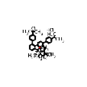 CC1=Cc2c(-c3ccc(C(C)(C)C)cc3)cccc2[CH]1[Zr]([CH3])([CH3])(=[SiH2])[CH]1C(C(C)C)=Cc2c(-c3ccc(C(C)C)cc3)cccc21.Cl.Cl